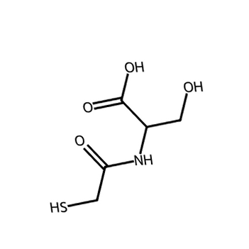 O=C(CS)NC(CO)C(=O)O